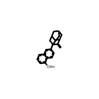 C=C1C2CC3CC(C2)CC1(c1ccc2c(OC)cccc2c1)C3